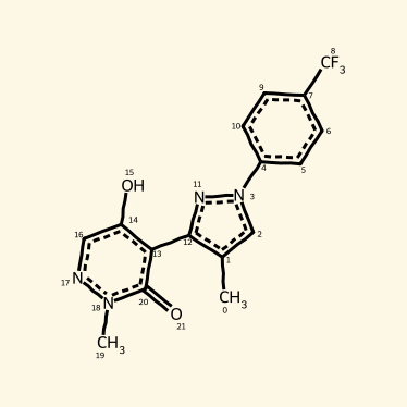 Cc1cn(-c2ccc(C(F)(F)F)cc2)nc1-c1c(O)cnn(C)c1=O